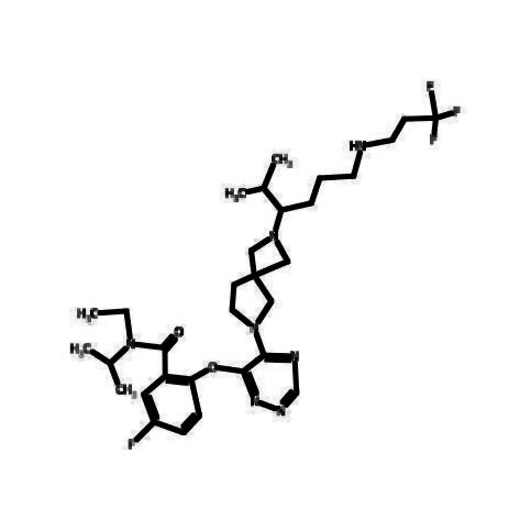 CCN(C(=O)c1cc(F)ccc1Oc1nncnc1N1CCC2(C1)CN(C(CCCNCCC(F)(F)F)C(C)C)C2)C(C)C